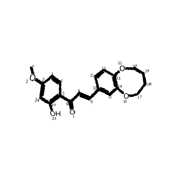 COc1ccc(C(=O)C=Cc2ccc3c(c2)OCCCCO3)c(O)c1